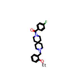 CCOc1ccccc1CN1CCC2(CC1)CCN(C(=O)c1ccc(F)cc1)CC2